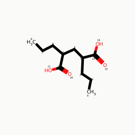 CCCC(CC(CCC)C(=O)O)C(=O)O